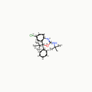 [2H]C([2H])(C)NC1=Nc2ccc(Cl)cc2C(c2ccccc2)(C([2H])([2H])[2H])O1